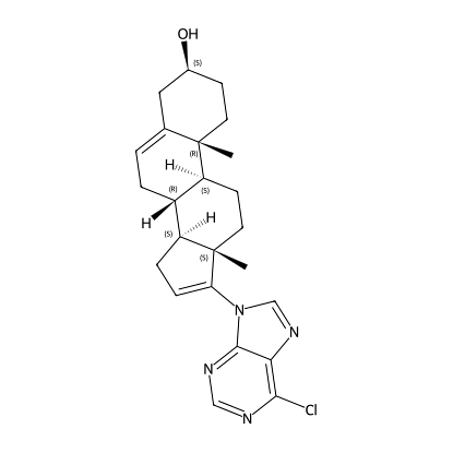 C[C@]12CC[C@H](O)CC1=CC[C@@H]1[C@@H]2CC[C@]2(C)C(n3cnc4c(Cl)ncnc43)=CC[C@@H]12